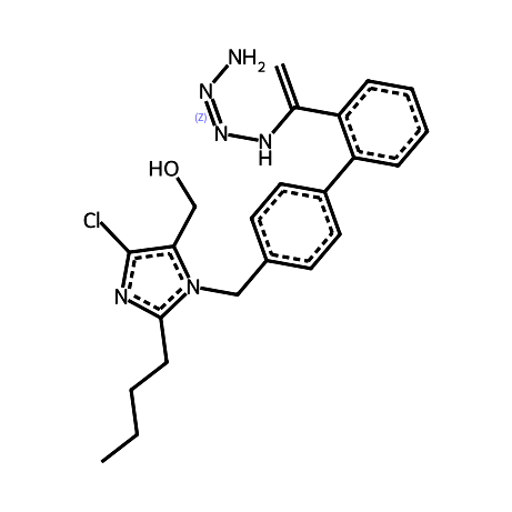 C=C(N/N=N\N)c1ccccc1-c1ccc(Cn2c(CCCC)nc(Cl)c2CO)cc1